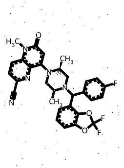 CC1CN(c2cc(=O)n(C)c3ccc(C#N)nc23)[C@@H](C)CN1C(c1ccc(F)cc1)c1cccc2c1OC(F)(F)O2